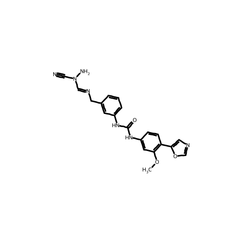 COc1cc(NC(=O)Nc2cccc(CN=CN(N)C#N)c2)ccc1-c1cnco1